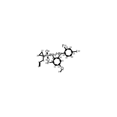 C=CCC1(S(=O)(=O)Nc2c(F)cc(OC)cc2Nc2ccc(I)cc2F)CC1